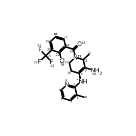 Cc1cccnc1NC1=C(N)C(C)N(C(=O)c2cccc(C(F)(F)F)c2Cl)CC1